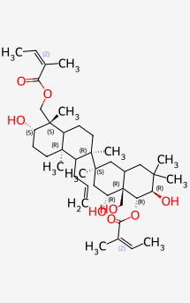 C=CCC1[C@@]2(C)CC[C@H](O)[C@](C)(COC(=O)/C(C)=C\C)C2CC[C@@]1(C)[C@@]1(C)CC2CC(C)(C)[C@@H](O)[C@H](OC(=O)/C(C)=C\C)[C@]2(CO)[C@H](O)C1